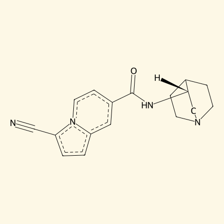 N#Cc1ccc2cc(C(=O)N[C@H]3CN4CCC3CC4)ccn12